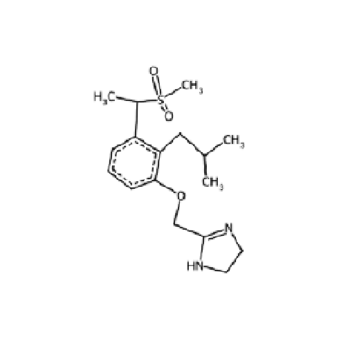 CC(C)Cc1c(OCC2=NCCN2)cccc1C(C)S(C)(=O)=O